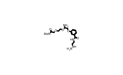 CNC(=O)COCCOC(N)COc1cccc(C(=O)NCCNN)c1